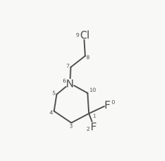 FC1(F)CCCN(CCCl)C1